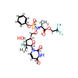 C[C@@H](C(=O)OCC(F)F)N(OC[C@H]1O[C@@H](n2ccc(=O)[nH]c2=O)[C@](C)(F)[C@@H]1O)[PH](=O)Oc1ccccc1